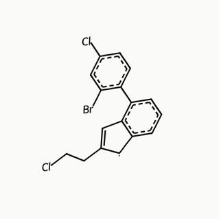 ClCCC1=Cc2c(cccc2-c2ccc(Cl)cc2Br)[CH]1